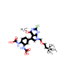 COc1nc(Cl)nc2c1c(-c1ccc(NC(=O)O)c(NC(=O)O)c1)cn2COCC[Si](C)(C)C